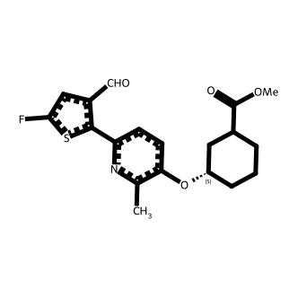 COC(=O)C1CCC[C@H](Oc2ccc(-c3sc(F)cc3C=O)nc2C)C1